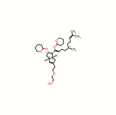 CC(C)=CCC[C@@H](C)CCC=C(OC1CCCCO1)[C@H]1[C@@H]2CC(CCOCCO)=C[C@@H]2C[C@@H]1OC1CCCCO1